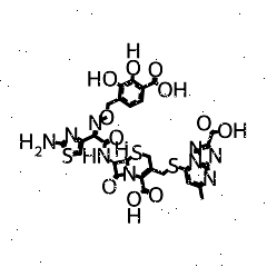 Cc1cc(SCC2=C(C(=O)O)N3C(=O)[C@@H](NC(=O)/C(=N\OCc4ccc(C(=O)O)c(O)c4O)c4csc(N)n4)[C@H]3SC2)n2nc(C(=O)O)nc2n1